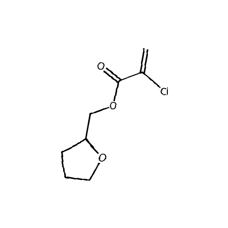 C=C(Cl)C(=O)OCC1CCCO1